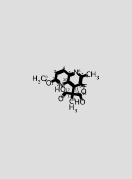 COc1ccc2nc(C)c(F)c(C(C)(C(=O)O)C(=O)O)c2n1